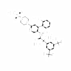 Cc1ccccc1-c1cc(N2CCN(S(C)(=O)=O)CC2)ncc1N(C)C(=O)C(C)(C)c1cc(C(F)(F)F)cc(C(F)(F)F)c1